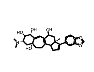 CN(C)[C@H]1C[C@]2(O)CCC3=C(C=C2[C@@H](O)[C@@H]1O)C(O)C[C@]1(C)C(c2ccc4ncoc4c2)=CCC31